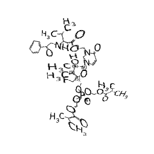 CC(C)C(=O)OCOP(=O)(OCOC(=O)C(C)C)OC[C@@]1(CF)O[C@@H](N2C=CC(=O)N(COC(=O)C(NCC(=O)c3ccccc3)C(C)C)C2)[C@](C)(O)[C@@H]1C